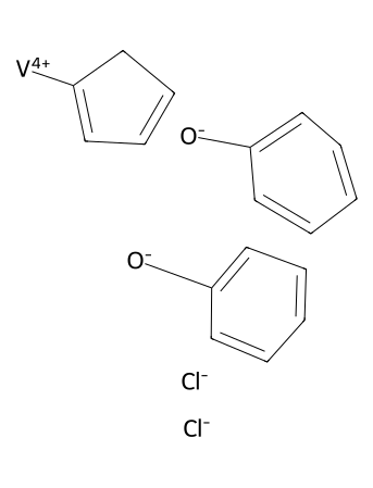 [Cl-].[Cl-].[O-]c1ccccc1.[O-]c1ccccc1.[V+4][C]1=CC=CC1